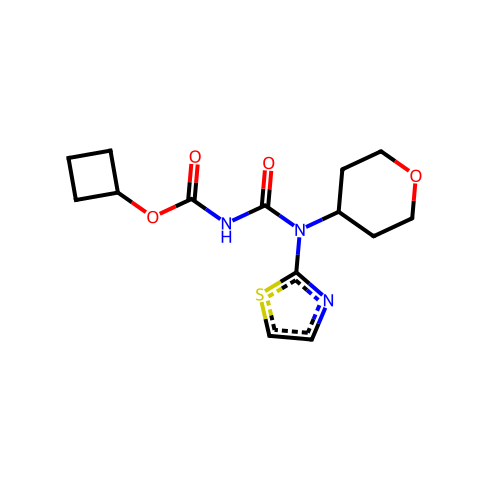 O=C(NC(=O)N(c1nccs1)C1CCOCC1)OC1CCC1